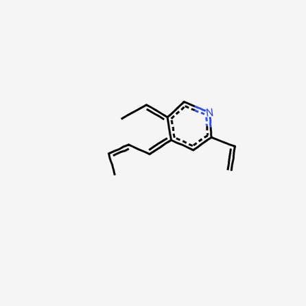 C=Cc1cc(=C/C=C\C)/c(=C\C)cn1